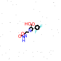 O=C(O)[C@@H]1CN(CCc2n[nH]c(=O)o2)C[C@H]1c1ccc(F)cc1F